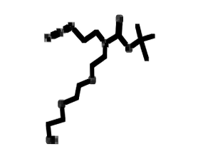 CC(C)(C)OC(=O)N(CCN=[N+]=[N-])CCOCCOCCO